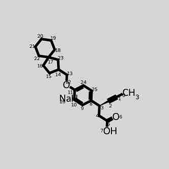 CC#C[C@@H](CC(=O)O)c1ccc(OCC2CCC3(CCCCC3)C2)cc1.[NaH]